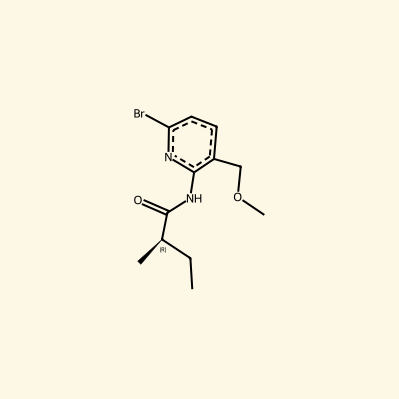 CC[C@@H](C)C(=O)Nc1nc(Br)ccc1COC